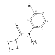 NN(C(=O)C1CCC1)c1cccc(Br)c1